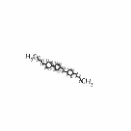 CCCCCC1CCC(CCc2ccc(C3CCC(CCCCC)CC3)cc2)CC1